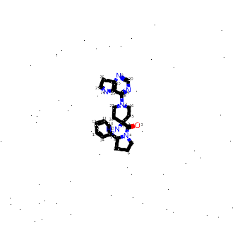 NC1(C(=O)N2CCCC2c2ccccc2)CCN(c2ncnc3c2N=CC3)CC1